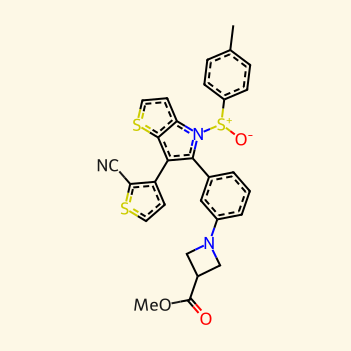 COC(=O)C1CN(c2cccc(-c3c(-c4ccsc4C#N)c4sccc4n3[S+]([O-])c3ccc(C)cc3)c2)C1